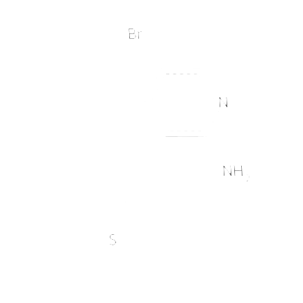 CS(C)(C)C#Cc1cc(Br)cnc1N